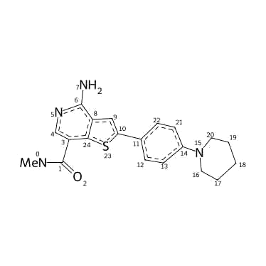 CNC(=O)c1cnc(N)c2cc(-c3ccc(N4CCCCC4)cc3)sc12